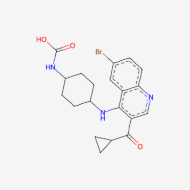 O=C(O)NC1CCC(Nc2c(C(=O)C3CC3)cnc3ccc(Br)cc23)CC1